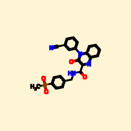 CS(=O)(=O)c1ccc(CNC(=O)c2nc3ccccc3n(-c3cccc(C#N)c3)c2=O)cc1